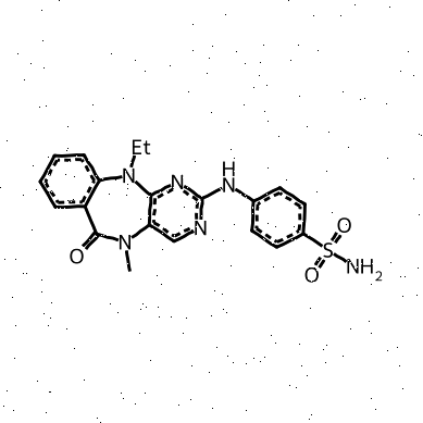 CCN1c2ccccc2C(=O)N(C)c2cnc(Nc3ccc(S(N)(=O)=O)cc3)nc21